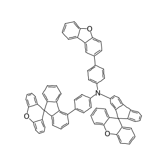 c1ccc2c(c1)Oc1ccccc1C21c2ccccc2-c2ccc(N(c3ccc(-c4ccc5oc6ccccc6c5c4)cc3)c3ccc(-c4cccc5c4-c4ccccc4C54c5ccccc5Oc5ccccc54)cc3)cc21